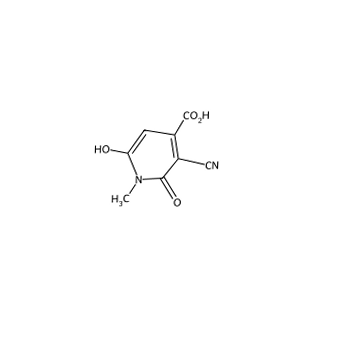 Cn1c(O)cc(C(=O)O)c(C#N)c1=O